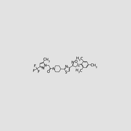 Cc1cc(C)c([C@H]2CC(c3csc(C4CCN(C(=O)Cn5nc(C(F)(F)F)cc5C)CC4)n3)=NO2)c(C)c1